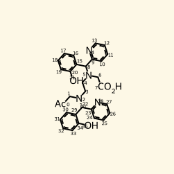 CC(=O)CN(CCN(CC(=O)O)C(c1ccccn1)c1ccccc1O)[C@H](c1ccccn1)c1ccccc1O